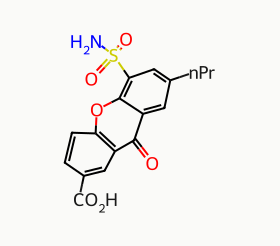 CCCc1cc(S(N)(=O)=O)c2oc3ccc(C(=O)O)cc3c(=O)c2c1